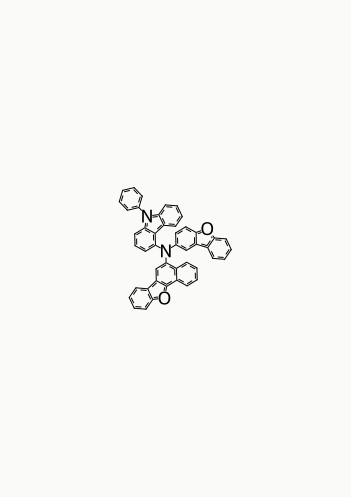 c1ccc(-n2c3ccccc3c3c(N(c4ccc5oc6ccccc6c5c4)c4cc5c6ccccc6oc5c5ccccc45)cccc32)cc1